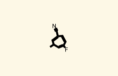 CC1C=C(F)C=CC(C#N)=C1